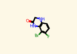 O=C1CNc2ccc(F)c(Br)c2N1